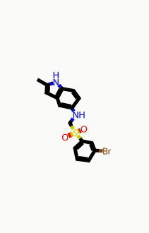 Cc1cc2cc(NCS(=O)(=O)c3cccc(Br)c3)ccc2[nH]1